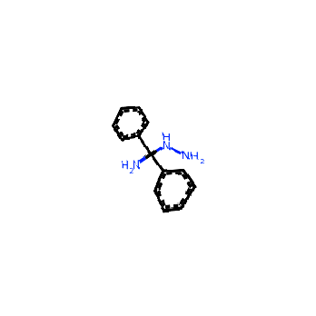 NNC(N)(c1ccccc1)c1ccccc1